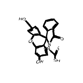 O=C1c2ccccc2C2(c3ccc(O)cc3Oc3cc(O)ccc32)N1NC(=S)S